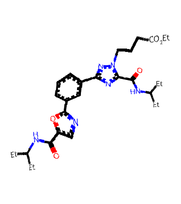 CCOC(=O)CCCn1nc(-c2cccc(-c3ncc(C(=O)NC(CC)CC)o3)c2)nc1C(=O)NC(CC)CC